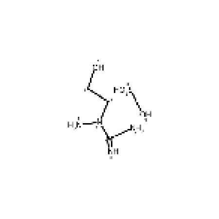 N=C(N)N(N)CCO.O=S(=O)(O)O